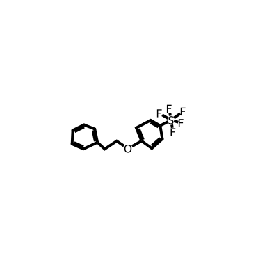 FS(F)(F)(F)(F)c1ccc(OCCc2ccccc2)cc1